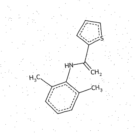 C=C(Nc1c(C)cccc1C)c1cccs1